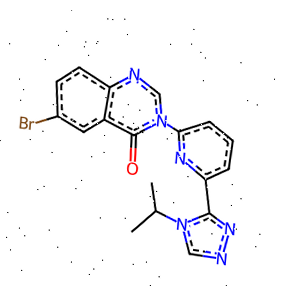 CC(C)n1cnnc1-c1cccc(-n2cnc3ccc(Br)cc3c2=O)n1